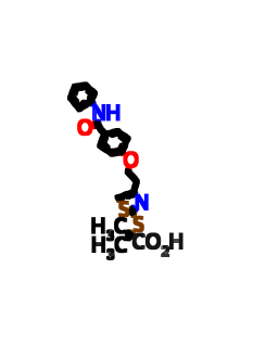 CC(C)(Sc1nc(CCOc2ccc(C(=O)Nc3ccccc3)cc2)cs1)C(=O)O